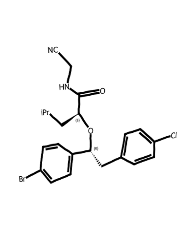 CC(C)C[C@H](O[C@H](Cc1ccc(Cl)cc1)c1ccc(Br)cc1)C(=O)NCC#N